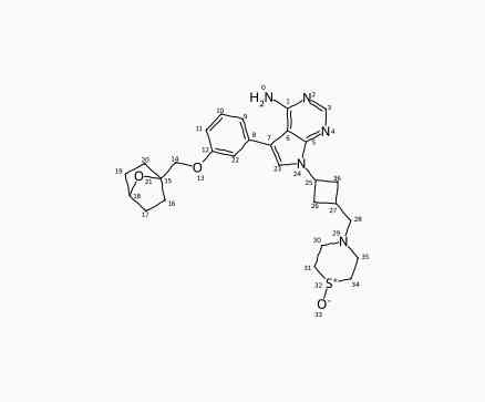 Nc1ncnc2c1c(-c1cccc(OCC34CCC(CC3)O4)c1)cn2C1CC(CN2CC[S+]([O-])CC2)C1